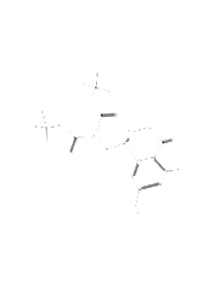 CC(C)(C)OC(=O)N(Cc1n[nH]c(=O)c2c(Cl)cc(Br)cc12)C(=O)OC(C)(C)C